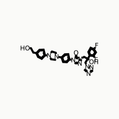 O=c1n(-c2ccc(N3CCN(c4ccc(CCO)cc4)CC3)cc2)cnn1CC(O)(Cn1cncn1)c1ccc(F)cc1F